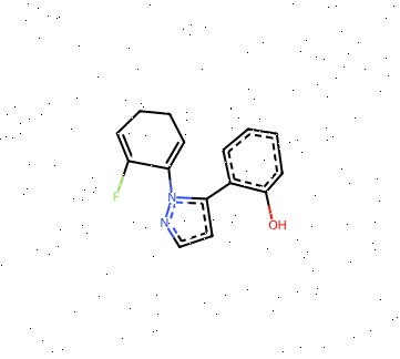 Oc1ccccc1-c1ccnn1C1=CCCC=C1F